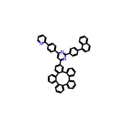 c1ccc(-c2ccc(-c3cc(-c4ccc5c6ccccc6c6ccccc6c6ccccc6c6ccccc6c5c4)nc(-c4ccc(-c5cccc6ccccc56)cc4)n3)cc2)nc1